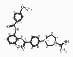 COc1ccc(C(=O)Nc2cccc(O)c2NC(=O)c2ccc(N3CCCN(C(C)=N)CC3)cc2)cc1